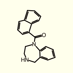 O=C(c1cccc2ccccc12)N1CCNCc2ccccc21